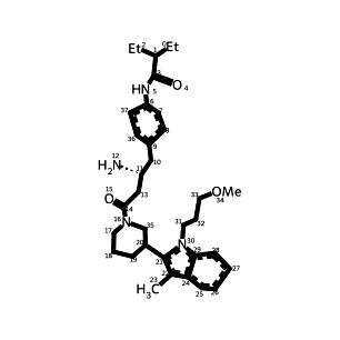 CCC(CC)C(=O)Nc1ccc(C[C@@H](N)CC(=O)N2CCCC(c3c(C)c4ccccc4n3CCCOC)C2)cc1